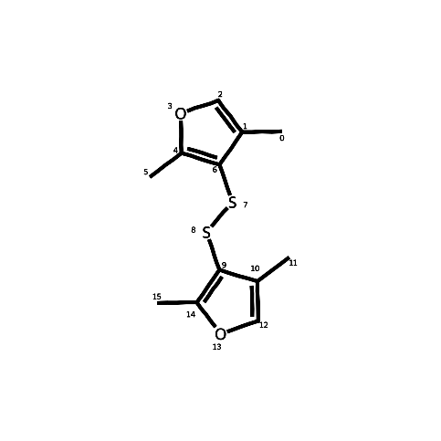 Cc1coc(C)c1SSc1c(C)coc1C